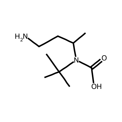 CC(CCN)N(C(=O)O)C(C)(C)C